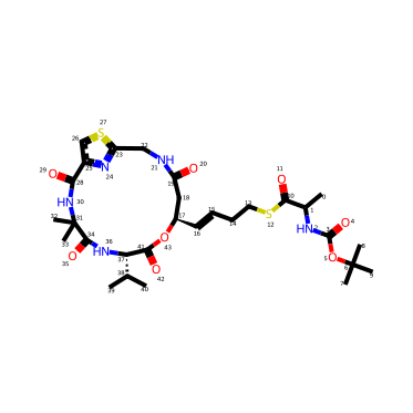 CC(NC(=O)OC(C)(C)C)C(=O)SCC/C=C/[C@@H]1CC(=O)NCc2nc(cs2)C(=O)NC(C)(C)C(=O)N[C@@H](C(C)C)C(=O)O1